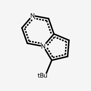 CC(C)(C)c1ccc2cnccn12